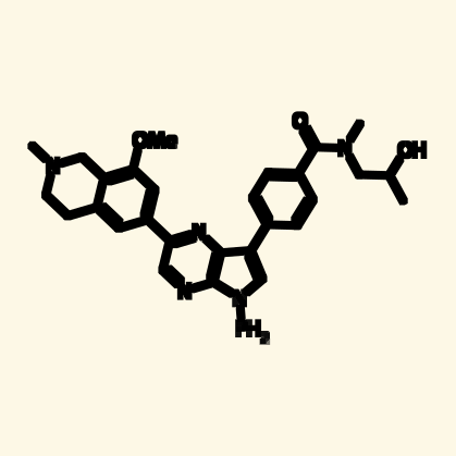 COc1cc(-c2cnc3c(n2)c(-c2ccc(C(=O)N(C)CC(C)O)cc2)cn3P)cc2c1CN(C)CC2